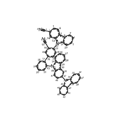 N#Cc1ccc2c3ccccc3n(-c3ccc(-c4ccccc4-n4c5ccccc5c5cc(-n6c7ccccc7c7ccccc76)ccc54)cc3C#N)c2c1